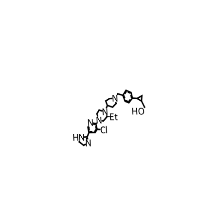 CC[C@H]1CN(c2ncc(C3=NCCN3)cc2Cl)CCN1C1CCN(Cc2ccc(C3CC3CO)cc2)CC1